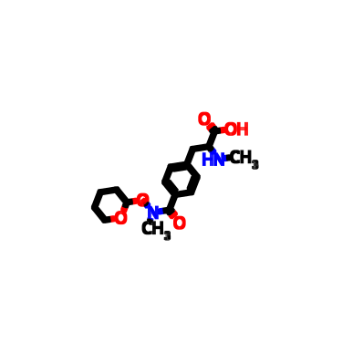 CNC(Cc1ccc(C(=O)N(C)OC2CCCCO2)cc1)C(=O)O